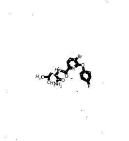 CC(C)C[C@H](NC(=O)c1ccc(Br)c(Oc2ccc(F)cc2)n1)C(N)=O